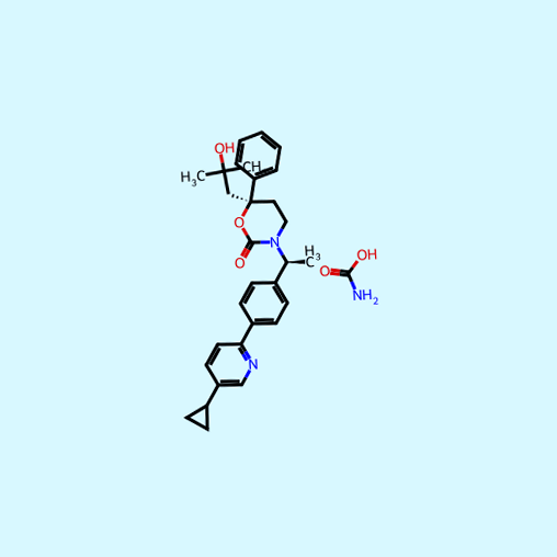 C[C@@H](c1ccc(-c2ccc(C3CC3)cn2)cc1)N1CC[C@](CC(C)(C)O)(c2ccccc2)OC1=O.NC(=O)O